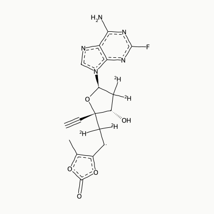 [2H]C1([2H])[C@H](n2cnc3c(N)nc(F)nc32)O[C@@](C#C)(C([2H])([2H])[CH]c2oc(=O)oc2C)[C@H]1O